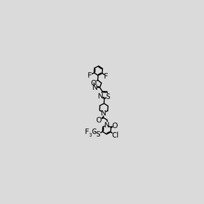 O=C(Cn1cc(SC(F)(F)F)cc(Cl)c1=O)N1CCC(c2nc(C3=NOC(c4c(F)cccc4F)C3)cs2)CC1